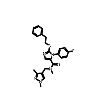 Cc1nn(C)cc1CN(C)C(=O)c1cnc(SCCc2ccccc2)n1-c1ccc(F)cc1